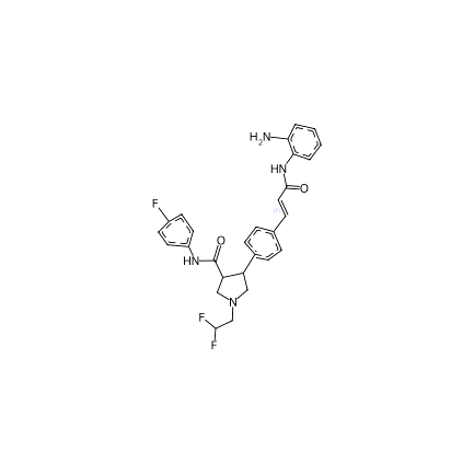 Nc1ccccc1NC(=O)/C=C/c1ccc(C2CN(CC(F)F)CC2C(=O)Nc2ccc(F)cc2)cc1